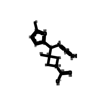 Cc1ccc(C(N=[N+]=N)C2(C)CN(C(=O)[O-])C2)o1